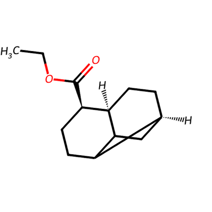 CCOC(=O)[C@@H]1CCC2C3C[C@@H]2CC[C@@H]31